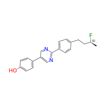 C[C@H](F)CCc1ccc(-c2ncc(-c3ccc(O)cc3)cn2)cc1